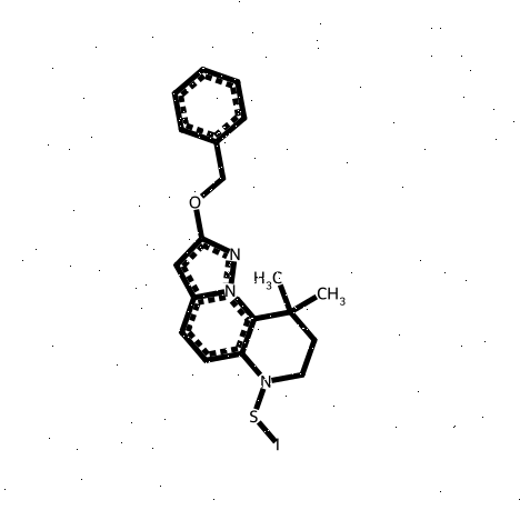 CC1(C)CCN(SI)c2ccc3cc(OCc4ccccc4)nn3c21